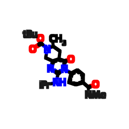 CNC(=O)c1ccc(-n2c(NC(C)C)nc3c(c2=O)CC(C)N(C(=O)OC(C)(C)C)C3)cc1